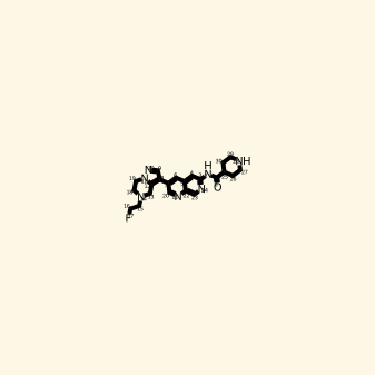 O=C(Nc1cc2cc(-c3cnn4c3CN(CCF)CC4)cnc2cn1)C1CCNCC1